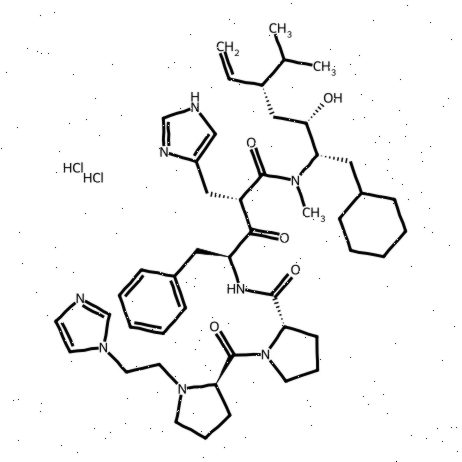 C=C[C@@H](C[C@H](O)[C@H](CC1CCCCC1)N(C)C(=O)[C@@H](Cc1c[nH]cn1)C(=O)[C@H](Cc1ccccc1)NC(=O)[C@@H]1CCCN1C(=O)[C@H]1CCCN1CCn1ccnc1)C(C)C.Cl.Cl